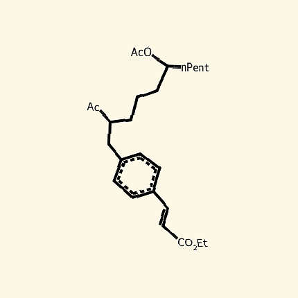 CCCCCC(CCCC(Cc1ccc(/C=C/C(=O)OCC)cc1)C(C)=O)OC(C)=O